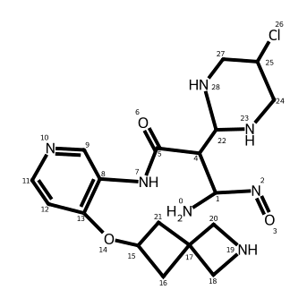 NC(N=O)C(C(=O)Nc1cnccc1OC1CC2(CNC2)C1)C1NCC(Cl)CN1